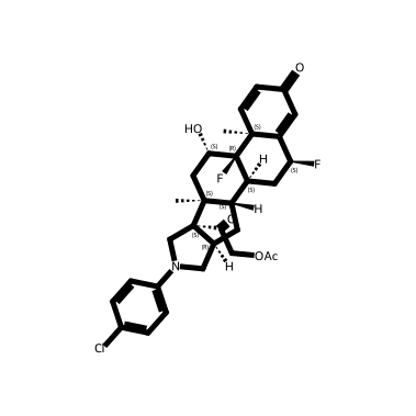 CC(=O)OCC(=O)[C@@]12CN(c3ccc(Cl)cc3)C[C@@H]1C[C@H]1[C@@H]3C[C@H](F)C4=CC(=O)C=C[C@]4(C)[C@@]3(F)[C@@H](O)C[C@@]12C